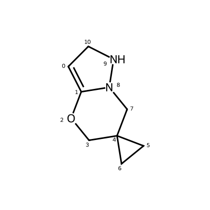 C1=C2OCC3(CC3)CN2NC1